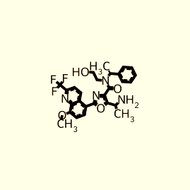 COc1ccc(-c2nc(C(=O)N(CCO)[C@@H](C)c3ccccc3)c(C(C)N)o2)c2ccc(C(F)(F)F)nc12